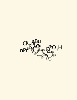 CCCCn1c(Cl)c(CCC)n(Cc2ccc(-c3ccccc3OC(=O)O)cc2)c1=O